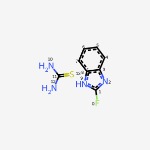 Fc1nc2ccccc2[nH]1.NC(N)=S